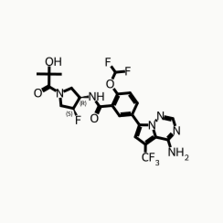 CC(C)(O)C(=O)N1C[C@H](F)[C@H](NC(=O)c2cc(-c3cc(C(F)(F)F)c4c(N)ncnn34)ccc2OC(F)F)C1